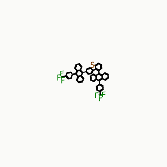 FC(F)(F)c1ccc(-c2c3ccccc3c(-c3ccc4c(c3)sc3cccc(-c5c6ccccc6c(-c6ccc(C(F)(F)F)cc6)c6ccccc56)c34)c3ccccc23)cc1